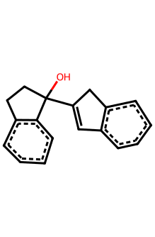 OC1(C2=Cc3ccccc3C2)CCc2ccccc21